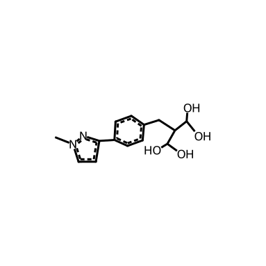 Cn1ccc(-c2ccc(CC(C(O)O)C(O)O)cc2)n1